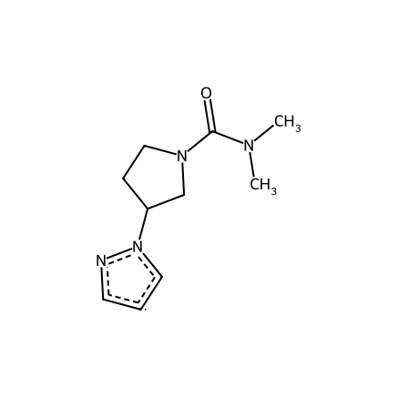 CN(C)C(=O)N1CCC(n2c[c]cn2)C1